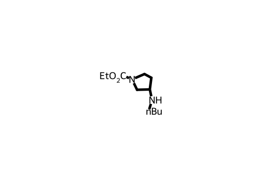 CCCCNC1CCN(C(=O)OCC)C1